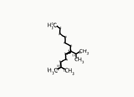 CCCCCCC(=CCCC(C)C)C(C)C